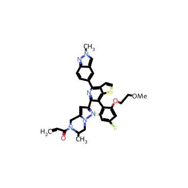 C=CC(=O)N1Cc2cc(-c3nc(-c4ccc5nn(C)cc5c4)c4ccsc4c3-c3c(F)cc(F)cc3OCCOC)nn2CC1C